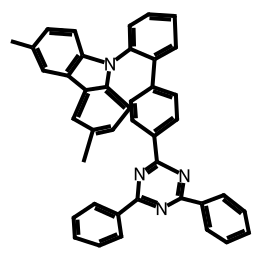 Cc1ccc2c(c1)c1cc(C)ccc1n2-c1ccccc1-c1ccc(-c2nc(-c3ccccc3)nc(-c3ccccc3)n2)cc1